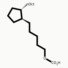 CCCCCCCC[C@H]1CCC[C@@H]1CCCCCOC(=O)O